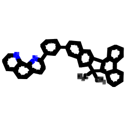 CC1(C)c2cc3cc(-c4cccc(-c5ccc6ccc7cccnc7c6n5)c4)ccc3cc2-c2c1c1ccccc1c1ccccc21